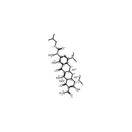 CC(C)COC(=O)N(N)c1cc(N(C)C)c2c(c1O)C(=O)C1=C(O)[C@]3(O)C(=O)C(C(N)=O)=C(O)[C@@H](N(C)C)[C@@H]3C[C@@H]1C2